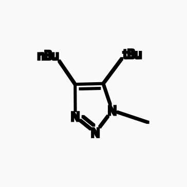 CCCCc1nnn(C)c1C(C)(C)C